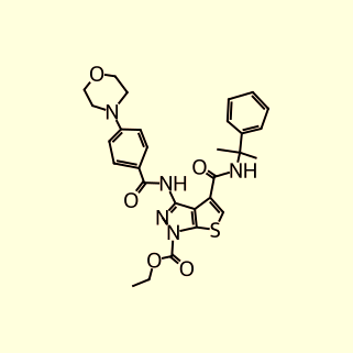 CCOC(=O)n1nc(NC(=O)c2ccc(N3CCOCC3)cc2)c2c(C(=O)NC(C)(C)c3ccccc3)csc21